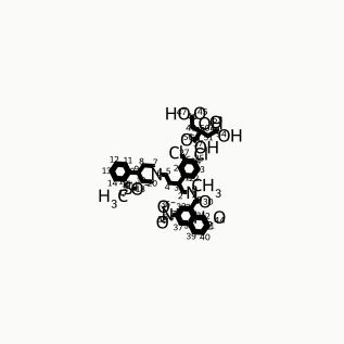 CN(CC(CCN1CCC(c2ccccc2[S@+](C)[O-])CC1)c1ccc(Cl)c(Cl)c1)C(=O)c1cc([N+](=O)[O-])cc2ccccc12.O.O=C(O)CC(O)(CC(=O)O)C(=O)O